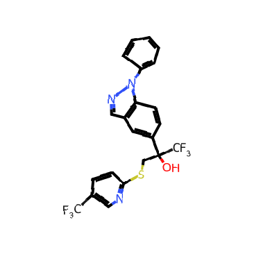 OC(CSc1ccc(C(F)(F)F)cn1)(c1ccc2c(cnn2-c2ccccc2)c1)C(F)(F)F